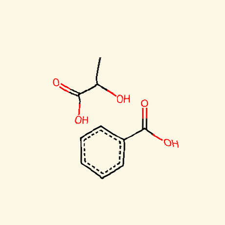 CC(O)C(=O)O.O=C(O)c1ccccc1